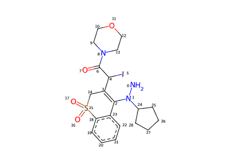 NN(C1=C(C(I)C(=O)N2CCOCC2)CS(=O)(=O)c2ccccc21)C1CCCC1